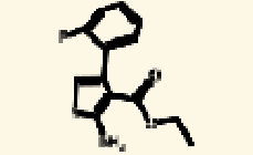 CCOC(=O)c1c(-c2ccccc2F)csc1N